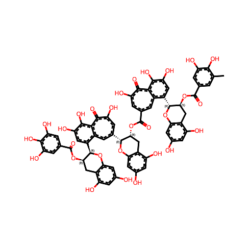 Cc1cc(C(=O)O[C@H]2Cc3c(O)cc(O)cc3O[C@@H]2c2cc(O)c(O)c3c(=O)c(O)cc(C(=O)O[C@@H]4Cc5c(O)cc(O)cc5O[C@@H]4c4cc(O)c(=O)c5c(O)c(O)cc([C@H]6Oc7cc(O)cc(O)c7C[C@H]6OC(=O)c6cc(O)c(O)c(O)c6)c5c4)cc23)cc(O)c1O